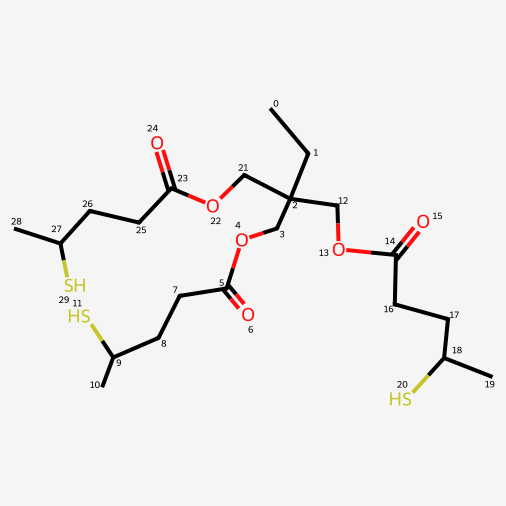 CCC(COC(=O)CCC(C)S)(COC(=O)CCC(C)S)COC(=O)CCC(C)S